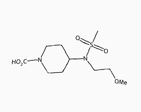 COCCN(C1CCN(C(=O)O)CC1)S(C)(=O)=O